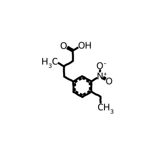 CCc1ccc(CC(C)CC(=O)O)cc1[N+](=O)[O-]